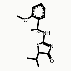 COc1ccccc1[C@H](C)NC1=NC(=O)C(C(C)C)S1